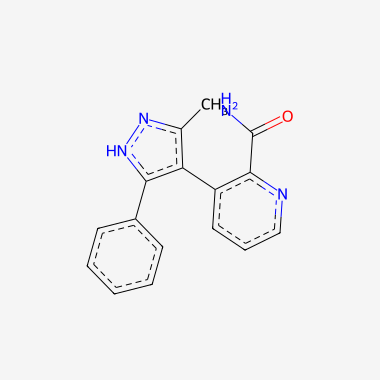 Cc1n[nH]c(-c2ccccc2)c1-c1cccnc1C(N)=O